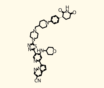 N#Cc1cnn2c(-c3cc(NC4CCOCC4)c(-c4nnc(N5CCN(CC6CCN(c7ccc([C@H]8CCC(=O)NC8=O)cc7)CC6)CC5)s4)cn3)ccc2c1